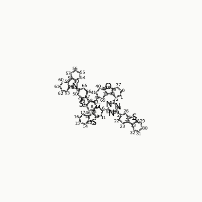 c1cc(-c2nc(-c3ccc4c(c3)sc3ccccc34)nc(-c3ccc4c(c3)sc3ccccc34)n2)c2c(c1)oc1ccc(-c3cccc4sc5cc(-n6c7ccccc7c7ccccc76)ccc5c34)cc12